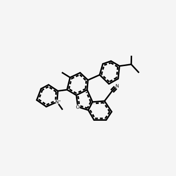 Cc1cc(-c2ccc(C(C)C)cc2)c2c(oc3cccc(C#N)c32)c1-c1cccc[n+]1C